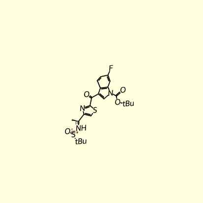 C[C@H](N[S@@+]([O-])C(C)(C)C)c1csc(C(=O)c2cn(C(=O)OC(C)(C)C)c3cc(F)ccc23)n1